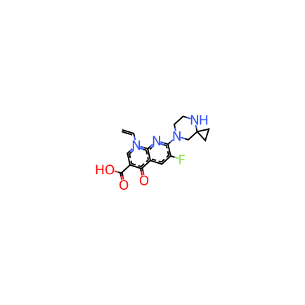 C=Cn1cc(C(=O)O)c(=O)c2cc(F)c(N3CCNC4(CC4)C3)nc21